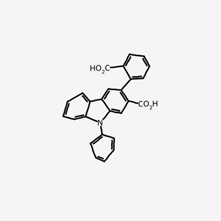 O=C(O)c1ccccc1-c1cc2c3ccccc3n(-c3ccccc3)c2cc1C(=O)O